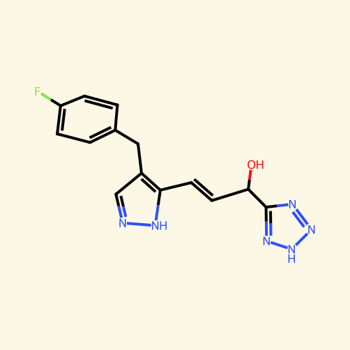 OC(C=Cc1[nH]ncc1Cc1ccc(F)cc1)c1nn[nH]n1